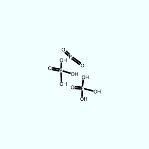 O=P(O)(O)O.O=P(O)(O)O.O=[P]=O